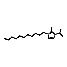 CCCCCCCCCCC[n+]1ccn(C(C)C)c1C